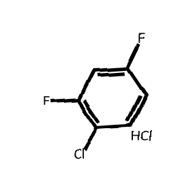 Cl.Fc1ccc(Cl)c(F)c1